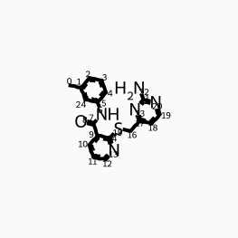 Cc1cccc(NC(=O)c2cccnc2SCc2ccnc(N)n2)c1